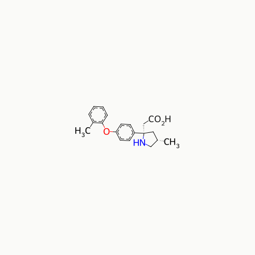 Cc1ccccc1Oc1ccc([C@@]2(CC(=O)O)C[C@H](C)CN2)cc1